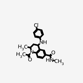 CNC(=O)c1ccc2c(c1)C(Nc1ccc(Cl)cc1)CC(C)N2C(C)=O